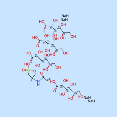 C=CC(=O)NC(C)(C)CS(=O)(=O)O.O=C(O)[C@H](O)[C@@H](O)[C@H](O)[C@H](O)CO.O=C(O)[C@H](O)[C@@H](O)[C@H](O)[C@H](O)CO.O=C(O)[C@H](O)[C@@H](O)[C@H](O)[C@H](O)CO.O=C(O)[C@H](O)[C@@H](O)[C@H](O)[C@H](O)CO.[NaH].[NaH].[NaH].[NaH]